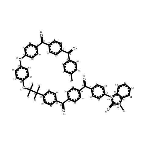 Cc1ccc(C(=O)c2ccc(C(=O)c3ccc(Oc4ccc(OC(C)(C)C(C)(C)c5ccc(C(=O)c6ccc(C(=O)c7ccc(-n8c(=O)n(C)c9ccccc98)cc7)cc6)cc5)cc4)cc3)cc2)cc1